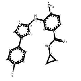 Cc1ccc(C(=O)NC2CC2)cc1Nc1nc(-c2ccc(F)cc2)cs1